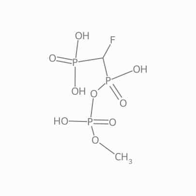 COP(=O)(O)OP(=O)(O)C(F)P(=O)(O)O